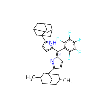 CC1CC2CC(C)CC(C3=N/C(=C(\c4ccc(C56CC7CC(CC(C7)C5)C6)[nH]4)c4c(F)c(F)c(F)c(F)c4F)C=C3)(C1)C2